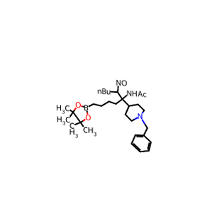 CCCCC(N=O)C(CCCCB1OC(C)(C)C(C)(C)O1)(NC(C)=O)C1CCN(Cc2ccccc2)CC1